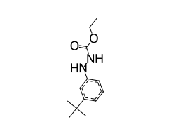 CCOC(=O)NNc1cccc(C(C)(C)C)c1